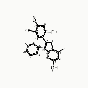 Cc1cc(O)cc2c1CC(c1cc(F)c(O)cc1F)=C2c1ccccc1